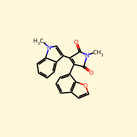 CN1C(=O)C(c2cn(C)c3ccccc23)=C(c2cc[c]c3ccoc23)C1=O